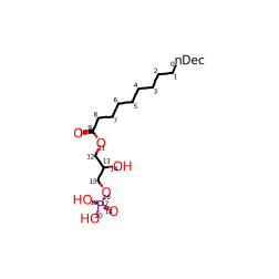 CCCCCCCCCCCCCCCCCCC(=O)OCC(O)COP(=O)(O)O